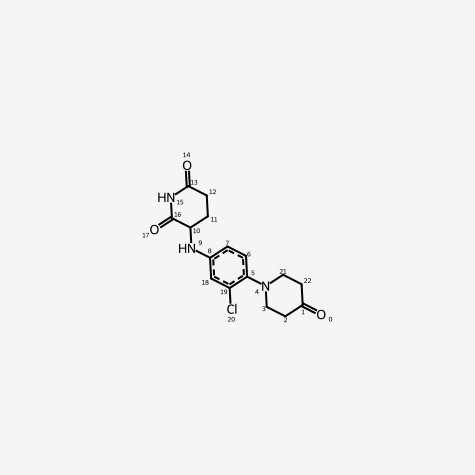 O=C1CCN(c2ccc(NC3CCC(=O)NC3=O)cc2Cl)CC1